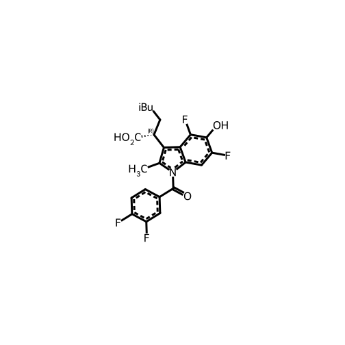 CCC(C)C[C@@H](C(=O)O)c1c(C)n(C(=O)c2ccc(F)c(F)c2)c2cc(F)c(O)c(F)c12